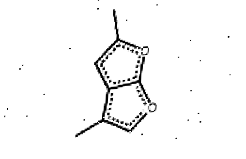 Cc1cc2c(C)coc2o1